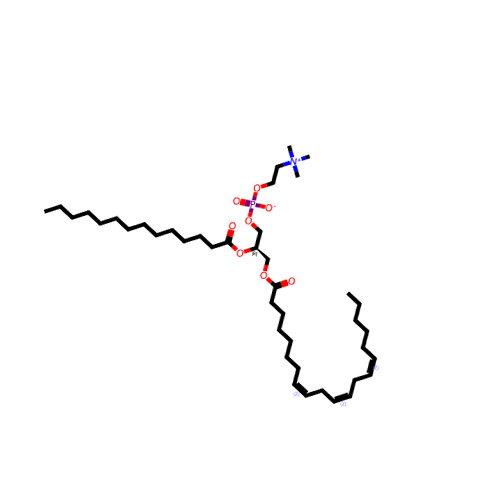 CCCCC/C=C\C/C=C\C/C=C\CCCCCCC(=O)OC[C@H](COP(=O)([O-])OCC[N+](C)(C)C)OC(=O)CCCCCCCCCCCCC